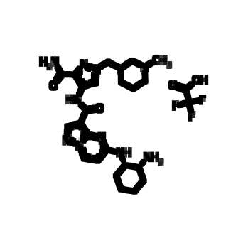 CN1CCCC(Cn2cc(NC(=O)c3cnn4ccc(N[C@@H]5CCCC[C@@H]5N)nc34)c(C(N)=O)n2)C1.O=C(O)C(F)(F)F